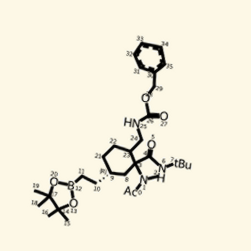 CC(=O)N(C)C1(C(=O)NC(C)(C)C)C[C@H](CCB2OC(C)(C)C(C)(C)O2)CCC1CNC(=O)OCc1ccccc1